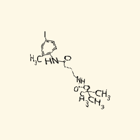 Cc1cc(I)ccc1NC(=O)CCCNC(=O)OC(C)(C)C